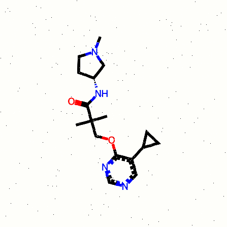 CN1CC[C@@H](NC(=O)C(C)(C)COc2ncncc2C2CC2)C1